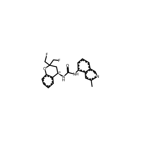 Cc1cc2c(NC(=O)N[C@@H]3CC(CF)(CF)Oc4ccccc43)cccc2cn1